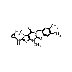 Cc1ccc(Cn2c(=O)c3c(nc(NC4CC4)n3C)n(C)c2=O)cc1C